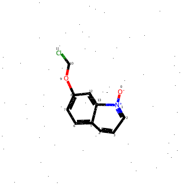 [O-][n+]1cccc2ccc(OCCl)cc21